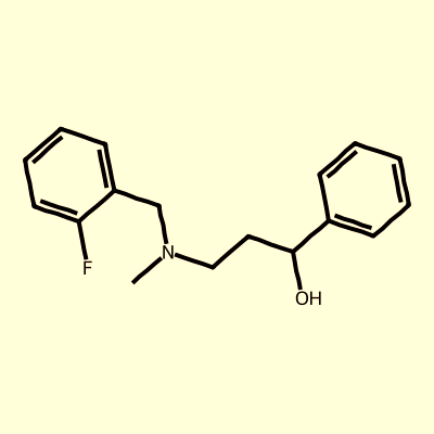 CN(CCC(O)c1ccccc1)Cc1ccccc1F